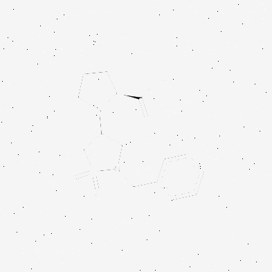 O=C(O)[C@@H]1CCCN1C1CN(Cc2ccccc2)S(=O)(=O)C1